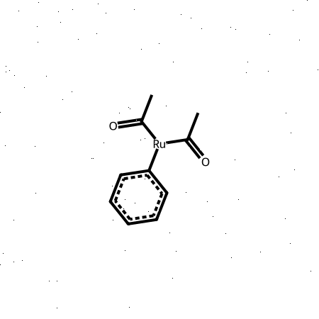 C[C](=O)[Ru]([C](C)=O)[c]1ccccc1